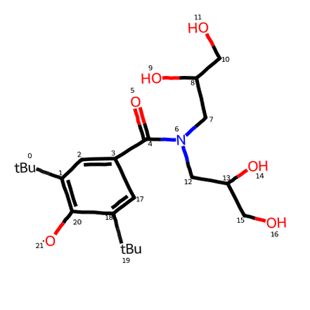 CC(C)(C)c1cc(C(=O)N(CC(O)CO)CC(O)CO)cc(C(C)(C)C)c1[O]